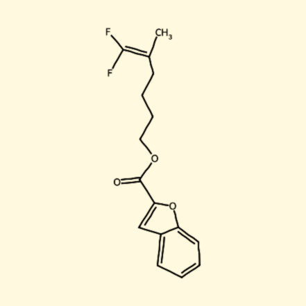 CC(CCCCOC(=O)c1cc2ccccc2o1)=C(F)F